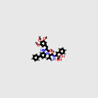 COc1cc(CC(Nc2cccc(-c3ccccc3)c2)C(=O)NC(C(=O)NC(Cc2ccccc2)B(O)O)C(C)C)cc(OC)c1OC